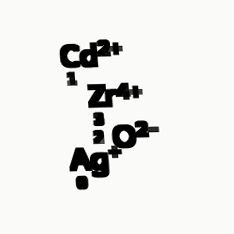 [Ag+].[Cd+2].[O-2].[Zr+4]